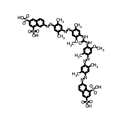 COc1cc(N=Nc2cc(C)c(N=Nc3ccc4cc(S(=O)(=O)O)cc(S(=O)(=O)O)c4c3)cc2C)c(C)cc1NC(=O)Nc1cc(C)c(N=Nc2cc(C)c(N=Nc3ccc4cc(S(=O)(=O)O)cc(S(=O)(=O)O)c4c3)cc2C)cc1OC